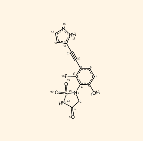 O=C1CN(c2c(O)ccc(C#Cc3ccn[nH]3)c2F)S(=O)(=O)N1